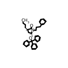 CCCC[C@@H]1C[C@@H](COC(c2ccccc2)(c2ccccc2)c2ccccc2)N(CCCc2ccccc2)C1=O